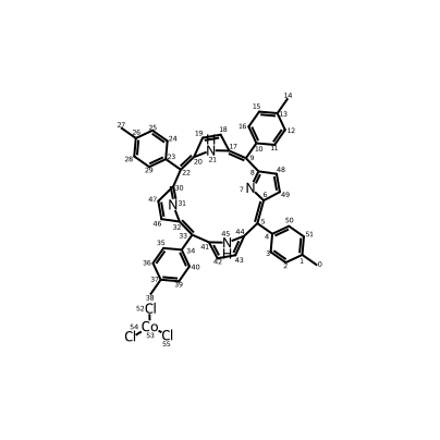 Cc1ccc(-c2c3nc(c(-c4ccc(C)cc4)c4ccc([nH]4)c(-c4ccc(C)cc4)c4nc(c(-c5ccc(C)cc5)c5ccc2[nH]5)C=C4)C=C3)cc1.[Cl][Co]([Cl])[Cl]